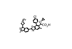 Cc1cc2nc(-c3ccc4c(c3)c(C3CN(C(C)C)C3)nn4C)sc2c(-c2ccc(Cl)cc2)c1C(OC1CC1)C(=O)O